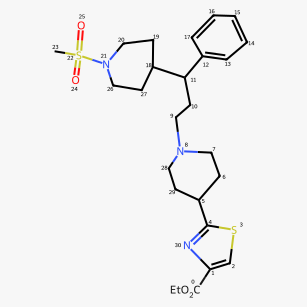 CCOC(=O)c1csc(C2CCN(CCC(c3ccccc3)C3CCN(S(C)(=O)=O)CC3)CC2)n1